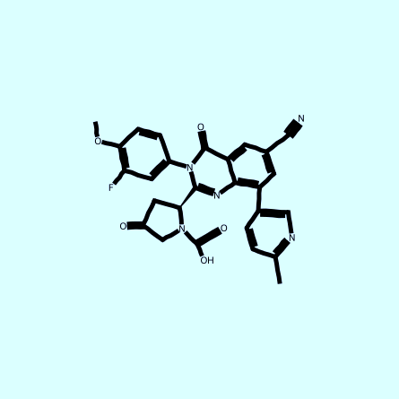 COc1ccc(-n2c([C@@H]3CC(=O)CN3C(=O)O)nc3c(-c4ccc(C)nc4)cc(C#N)cc3c2=O)cc1F